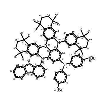 CC(C)(C)c1ccc(N(c2ccc(C(C)(C)C)cc2)c2cc3c4c(c2)N(c2cccc5c2sc2ccccc25)c2cc5c(cc2B4c2cc4c(cc2N3c2ccc3c(c2)C(C)(C)CCC3(C)C)C(C)(C)CCC4(C)C)C(C)(C)CCC5(C)C)cc1